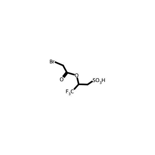 O=C(CBr)OC(CS(=O)(=O)O)C(F)(F)F